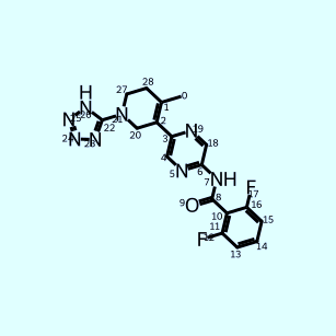 CC1=C(c2cnc(NC(=O)c3c(F)cccc3F)cn2)CN(c2nnn[nH]2)CC1